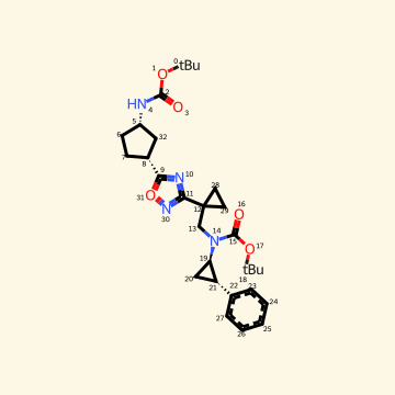 CC(C)(C)OC(=O)N[C@H]1CC[C@@H](c2nc(C3(CN(C(=O)OC(C)(C)C)[C@@H]4C[C@H]4c4ccccc4)CC3)no2)C1